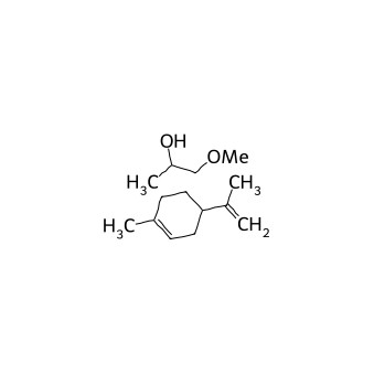 C=C(C)C1CC=C(C)CC1.COCC(C)O